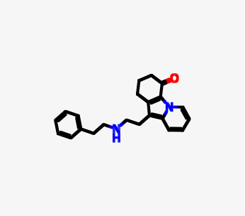 O=C1CCCc2c(CCNCCc3ccccc3)c3ccccn3c21